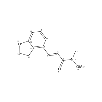 CON(C)C(=O)C=Cc1cccc2c1CCO2